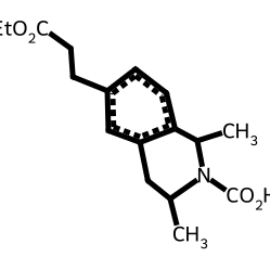 CCOC(=O)CCc1ccc2c(c1)CC(C)N(C(=O)O)C2C